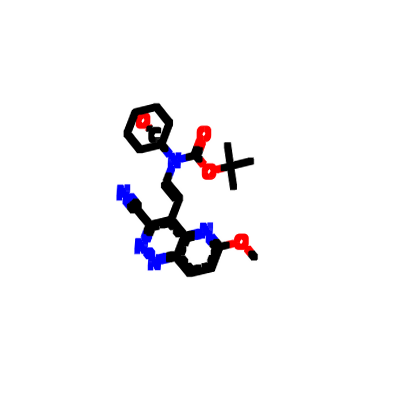 COc1ccc2nnc(C#N)c(/C=C/N(C(=O)OC(C)(C)C)C34CCC(CC3)OC4)c2n1